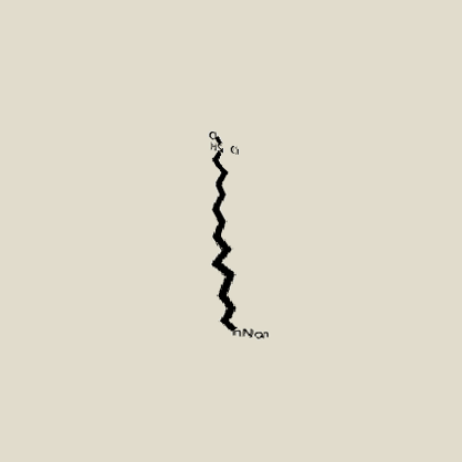 CCCCCCCCCCCCCCCCCCCCCC[SiH](Cl)Cl